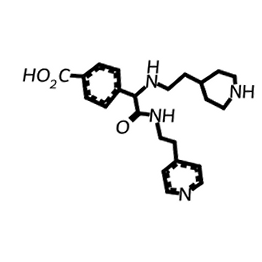 O=C(O)c1ccc(C(NCCC2CCNCC2)C(=O)NCCc2ccncc2)cc1